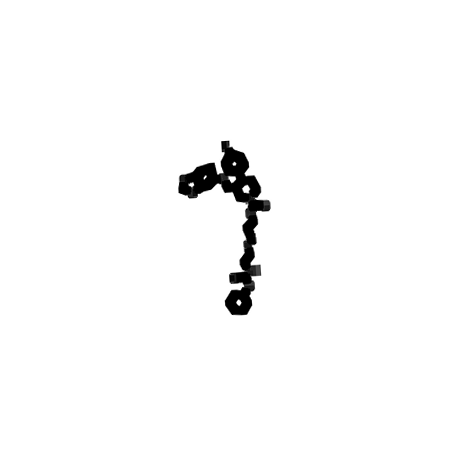 O=C(NCCSSCCOC(=O)N1CCC(c2ccc(F)cc2)C(COc2ccc3c(c2)OCO3)C1)OC1CCCCC1